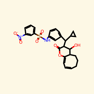 O=C1OC2=CC=CCCCC2C(O)C1C(c1cccc(NS(=O)(=O)c2cccc([N+](=O)[O-])c2)c1)C1CC1